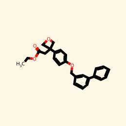 CCOC(=O)CC1(c2ccc(OCc3cccc(-c4ccccc4)c3)cc2)COC1